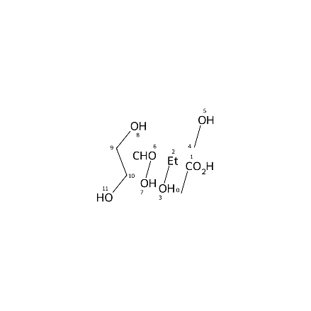 CC(=O)O.CCO.CO.O=CO.OCCO